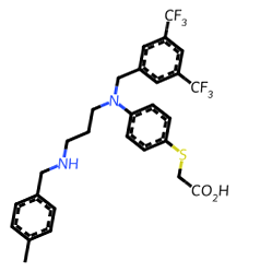 Cc1ccc(CNCCCN(Cc2cc(C(F)(F)F)cc(C(F)(F)F)c2)c2ccc(SCC(=O)O)cc2)cc1